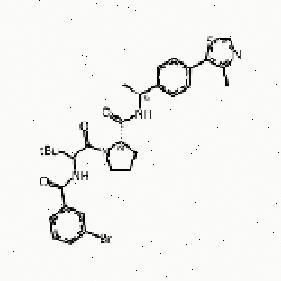 Cc1ncsc1-c1ccc([C@H](C)NC(=O)[C@@H]2CCCN2C(=O)C(NC(=O)c2cccc(Br)c2)C(C)(C)C)cc1